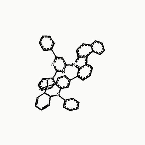 CC1(C)c2ccc(-c3cccc4c5c6ccccc6ccc5n(-c5cc(-c6ccccc6)nc(-c6ccccc6)n5)c34)cc2N(c2ccccc2)C2C=CC=CC21